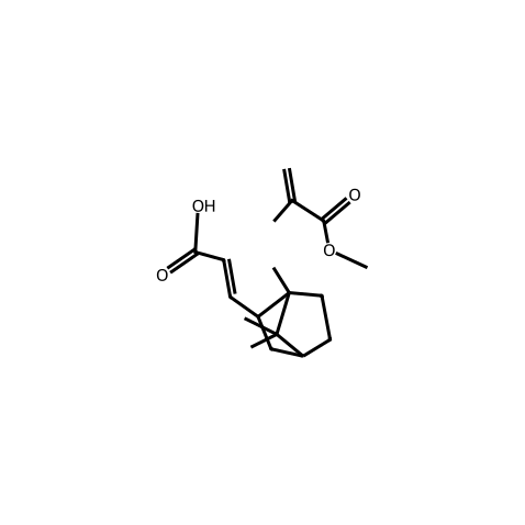 C=C(C)C(=O)OC.CC1(C)C2CCC1(C)C(C=CC(=O)O)C2